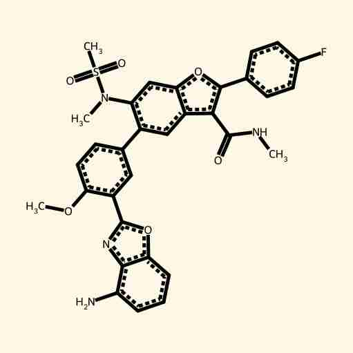 CNC(=O)c1c(-c2ccc(F)cc2)oc2cc(N(C)S(C)(=O)=O)c(-c3ccc(OC)c(-c4nc5c(N)cccc5o4)c3)cc12